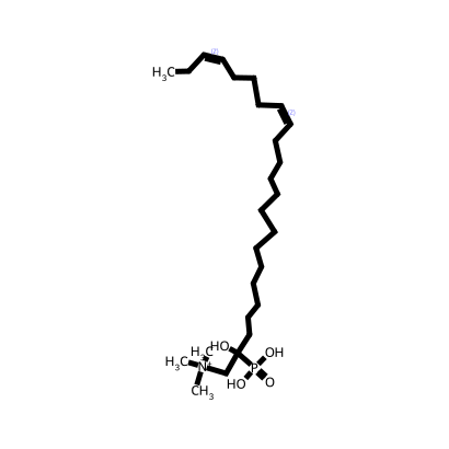 CC/C=C\CCC/C=C\CCCCCCCCCCCCC(O)(C[N+](C)(C)C)P(=O)(O)O